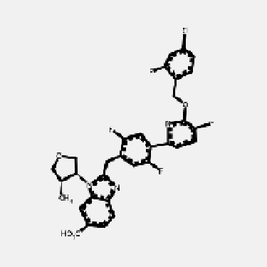 C[C@H]1COC[C@H]1n1c(Cc2cc(F)c(-c3ccc(F)c(OCc4ccc(Cl)cc4F)n3)cc2F)nc2ccc(C(=O)O)cc21